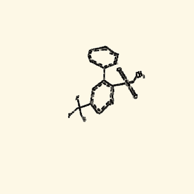 CS(=O)(=O)c1ncc(C(F)(F)F)cc1-c1[c]cccc1